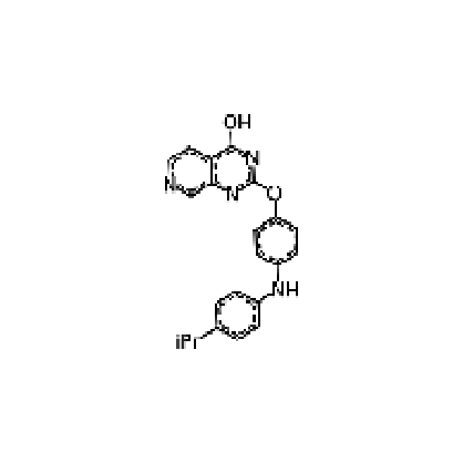 CC(C)c1ccc(Nc2ccc(Oc3nc(O)c4ccncc4n3)cc2)cc1